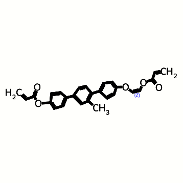 C=CC(=O)O/C=C\Oc1ccc(-c2ccc(-c3ccc(OC(=O)C=C)cc3)cc2C)cc1